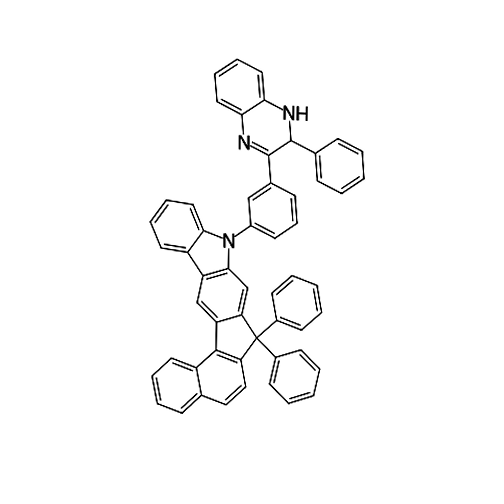 c1ccc(C2Nc3ccccc3N=C2c2cccc(-n3c4ccccc4c4cc5c(cc43)C(c3ccccc3)(c3ccccc3)c3ccc4ccccc4c3-5)c2)cc1